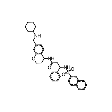 O=C(CC(NS(=O)(=O)c1ccc2ccccc2c1)c1ccccc1)NC1CCOc2cc(CNC3CCCCC3)ccc21